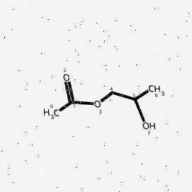 CC(=O)OCC(C)O